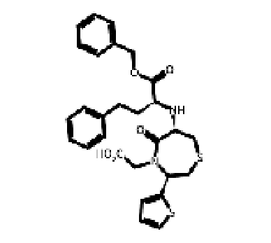 O=C(O)CN1C(=O)[C@@H](N[C@@H](CCc2ccccc2)C(=O)OCc2ccccc2)CSC[C@H]1c1cccs1